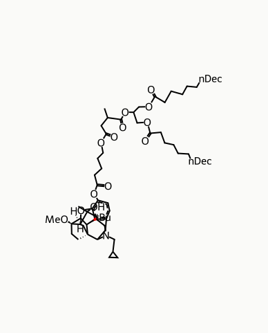 CCCCCCCCCCCCCCCC(=O)OCC(COC(=O)CCCCCCCCCCCCCCC)OC(=O)C(C)CC(=O)OCCCCC(=O)Oc1ccc2c3c1O[C@H]1[C@@]4(OC)CC[C@@]5(C[C@@H]4C(C)(O)C(C)(C)C)C(C2)N(CC2CC2)CC[C@]315